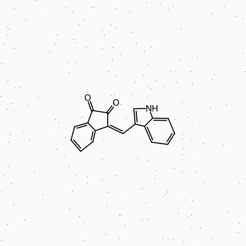 O=C1C(=O)c2ccccc2C1=Cc1c[nH]c2ccccc12